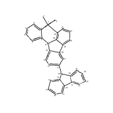 CC1(C)c2ccccc2-n2c3ccc(-n4c5ccccc5c5ccccc54)cc3c3cccc1c32